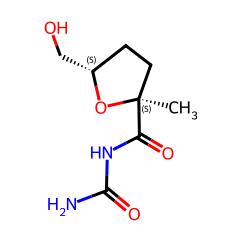 C[C@@]1(C(=O)NC(N)=O)CC[C@@H](CO)O1